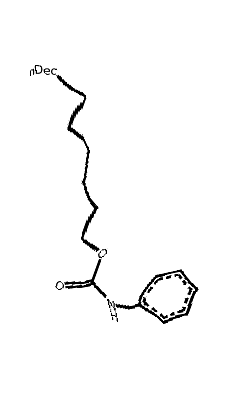 CCCCCCCCCCCCCCCCOC(=O)Nc1ccccc1